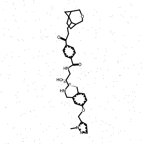 Cn1nccc1COc1ccc2c(c1)CN[C@H]([C@H](O)CNC(=O)c1ccc(C(=O)CCC3C4CCC35CC5COC4)cc1)C2